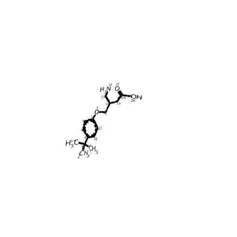 CC(C)(C)c1ccc(OCC(CN)CC(=O)O)cc1